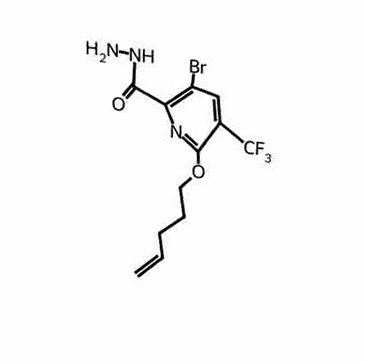 C=CCCCOc1nc(C(=O)NN)c(Br)cc1C(F)(F)F